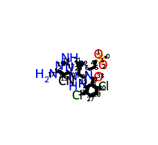 CS(=O)(=O)CCCn1c(C(Nc2nc(N)nc(N)c2C#N)C2CC2)nc2c(Cl)ccc(Cl)c2c1=O